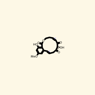 COc1cc(O)c2c(c1)/C=C/CC(=O)[C@H](O)C(=O)/C=C\CCOC2=O